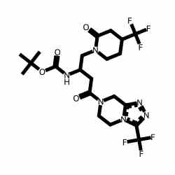 CC(C)(C)OC(=O)NC(CC(=O)N1CCn2c(nnc2C(F)(F)F)C1)CN1CCC(C(F)(F)F)CC1=O